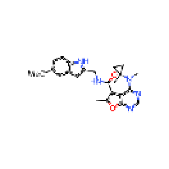 COc1ccc2[nH]c(CNC(=O)c3c(C)oc4ncnc(N(C)C5(C)CC5)c34)cc2c1